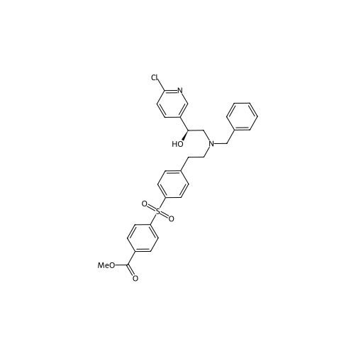 COC(=O)c1ccc(S(=O)(=O)c2ccc(CCN(Cc3ccccc3)C[C@@H](O)c3ccc(Cl)nc3)cc2)cc1